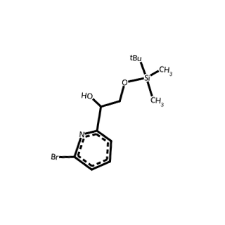 CC(C)(C)[Si](C)(C)OCC(O)c1cccc(Br)n1